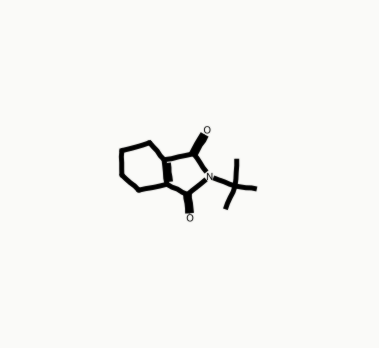 CC(C)(C)N1C(=O)C2=C(CCCC2)C1=O